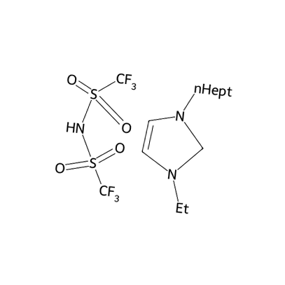 CCCCCCCN1C=CN(CC)C1.O=S(=O)(NS(=O)(=O)C(F)(F)F)C(F)(F)F